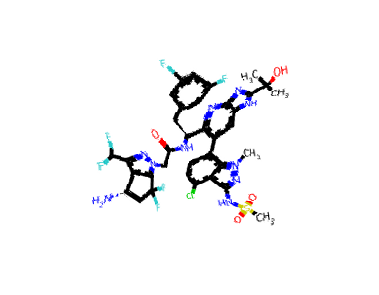 Cn1nc(NS(C)(=O)=O)c2c(Cl)ccc(-c3cc4[nH]c(C(C)(C)O)nc4nc3[C@H](Cc3cc(F)cc(F)c3)NC(=O)Cn3nc(C(F)F)c4c3C(F)(F)C[C@@H]4N)c21